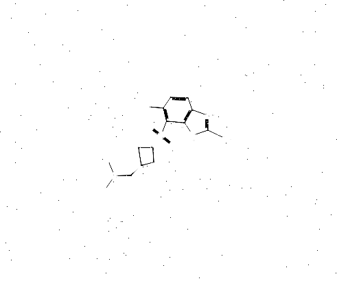 CN(C)C[C@H]1C[C@H](S(=O)(=O)c2c(Cl)ccc3nc(C(C)(C)C)oc23)C1